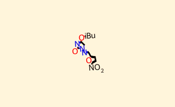 CCC(C)OC1=NC(=O)N(N=Cc2ccc([N+](=O)[O-])o2)C1